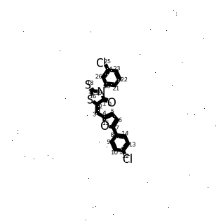 O=C1/C(=C\c2ccc(-c3ccc(Cl)cc3)o2)SC(=S)N1c1cccc(Cl)c1